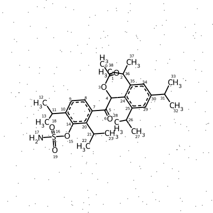 CC(=O)OC(C(=O)c1ccc(C(C)C)c(OS(N)(=O)=O)c1C(C)C)c1c(C(C)C)cc(C(C)C)cc1C(C)C